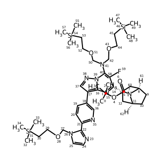 CC(C)(C)OC(=O)N1[C@@H]2CC[C@H]1C[C@H](c1nc3c(-c4ccc(-c5nccn5COCC[Si](C)(C)C)nc4)cnn3c(N(COCC[Si](C)(C)C)COCC[Si](C)(C)C)c1F)C2